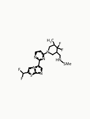 CSNCC1CN(c2ccnc(-c3cnc4sc(C(F)F)cn34)n2)CC(C)C1(F)F